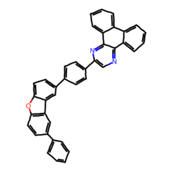 c1ccc(-c2ccc3oc4ccc(-c5ccc(-c6cnc7c8ccccc8c8ccccc8c7n6)cc5)cc4c3c2)cc1